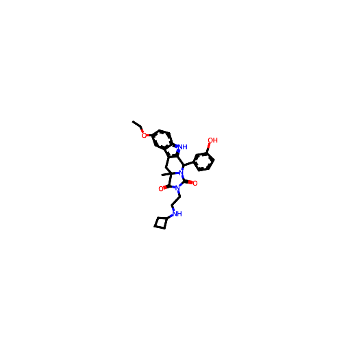 CCOc1ccc2[nH]c3c(c2c1)CC1(C)C(=O)N(CCNC2CCC2)C(=O)N1C3c1cccc(O)c1